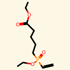 C=CP(=O)(CCCCC(=O)OCC)OCC